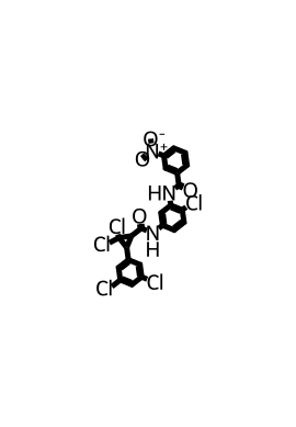 O=C(Nc1cc(NC(=O)C2C(c3cc(Cl)cc(Cl)c3)C2(Cl)Cl)ccc1Cl)c1cccc([N+](=O)[O-])c1